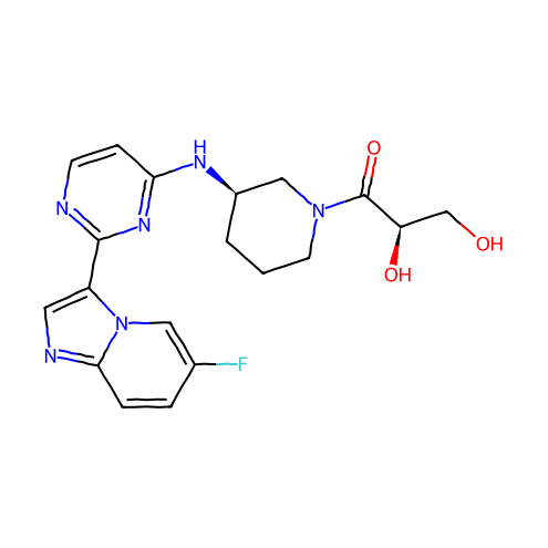 O=C([C@H](O)CO)N1CCC[C@@H](Nc2ccnc(-c3cnc4ccc(F)cn34)n2)C1